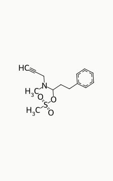 C#CCN(C)C(CCc1ccccc1)OS(C)(=O)=O